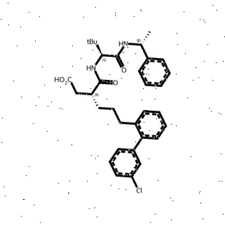 C[C@@H](NC(=O)[C@@H](NC(=O)[C@H](CCCc1ccccc1-c1cccc(Cl)c1)CC(=O)O)C(C)(C)C)c1ccccc1